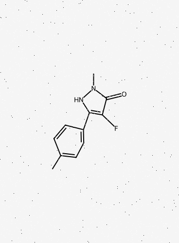 Cc1ccc(-c2[nH]n(C)c(=O)c2F)cc1